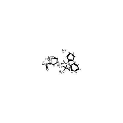 C=C[C@H](CO[Si](c1ccccc1)(c1ccccc1)C(C)(C)C)C[C@H](C)S(=O)[O-].[Na+]